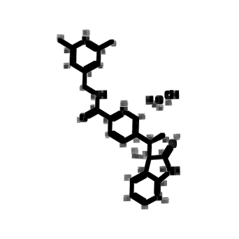 Cc1cc(CNC(=O)c2ccc([C@@H](C)[C@@]3(C)C(=O)Nc4ncccc43)cn2)cc(C)n1.Cl.O